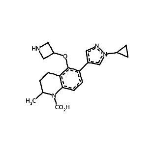 CC1CCc2c(ccc(-c3cnn(C4CC4)c3)c2OC2CNC2)N1C(=O)O